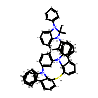 CC1(C)N(c2ccccc2)c2cccc3c2N1c1cccc2c1B3c1ccc3cc1N2c1c(cccc1-c1ccccc1)Sc1cccc(-c2ccccc2)c1N3c1ccccc1